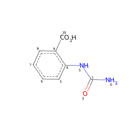 NC(=O)Nc1ccccc1C(=O)O